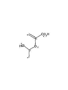 C=C(OC(C)O)C(=O)O